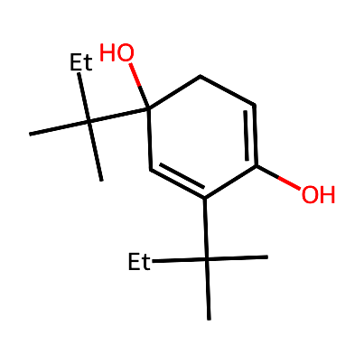 CCC(C)(C)C1=CC(O)(C(C)(C)CC)CC=C1O